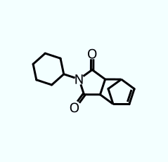 O=C1C2C3C=CC(C3)C2C(=O)N1C1CCCCC1